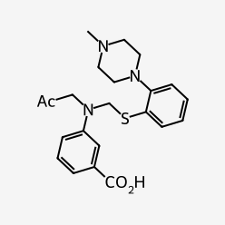 CC(=O)CN(CSc1ccccc1N1CCN(C)CC1)c1cccc(C(=O)O)c1